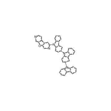 c1ccc2c(c1)c1ccccc1n2-c1ccc2c(c1)c1ccccc1n2-c1ccc2c(c1)c1ccccc1n2-c1cc2c(cn1)oc1cnccc12